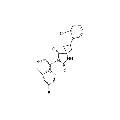 O=C1NC2(CC(c3ccccc3Cl)C2)C(=O)N1c1cncc2cc(F)ccc12